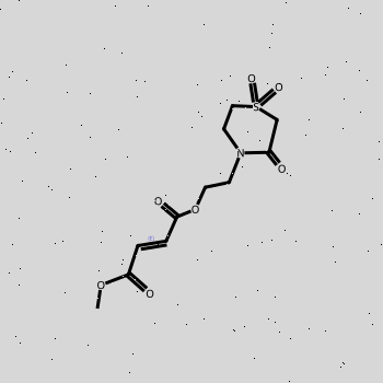 COC(=O)/C=C/C(=O)OCCN1CCS(=O)(=O)CC1=O